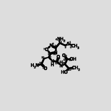 CSC[C@H](N)c1noc([C@H](CC(N)=O)NC(=O)N[C@H](C(=O)O)C(C)O)n1